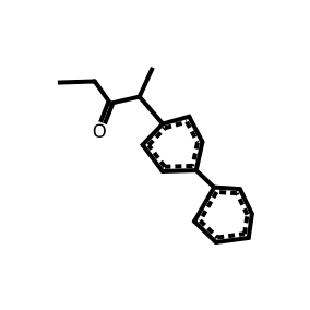 CCC(=O)C(C)c1ccc(-c2ccccc2)cc1